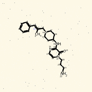 C/C(=C\c1ccccc1)CN1CCC(Nc2nccn(CCCN)c2=O)CC1